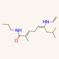 C=CN/C(=C/C/C=C(\C)C(=O)NCCC)CC(C)C